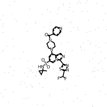 CC1(NS(=O)(=O)c2cc(N3CCN(C(=O)c4ccncc4)CC3)c3cnc(-c4nnc(C(F)F)s4)n3c2)CC1